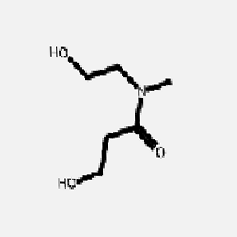 CN(CCO)C(=O)CCO